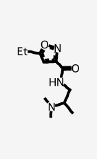 CCc1cc(C(=O)NCC(C)N(C)C)no1